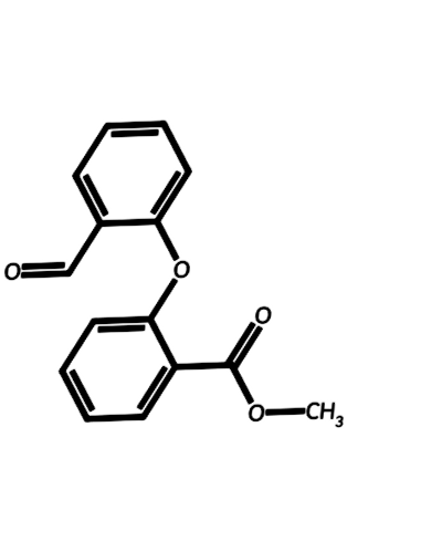 COC(=O)c1ccccc1Oc1ccccc1C=O